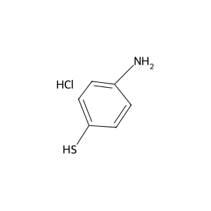 Cl.Nc1ccc(S)cc1